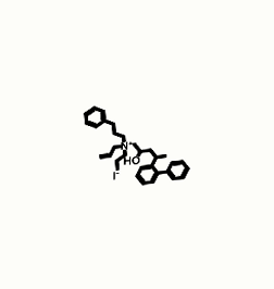 C=CC[N+](CCC)(CCCc1ccccc1)CC(O)CC(C)c1ccccc1-c1ccccc1.[I-]